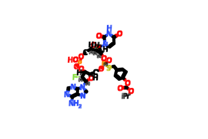 CC(C)OC(=O)Oc1ccc(CS[P@]2(=O)OC[C@H]3O[C@@H](n4cnc5c(N)ncnc54)[C@H](F)[C@@H]3OP(=O)(O)OC[C@H]3O[C@@H](n4ccc(=O)[nH]c4=O)[C@H](O2)[C@@H]3F)cc1